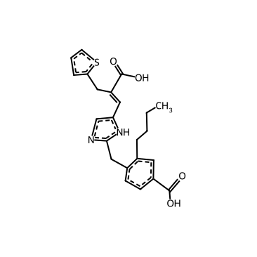 CCCCc1cc(C(=O)O)ccc1Cc1ncc(/C=C(\Cc2cccs2)C(=O)O)[nH]1